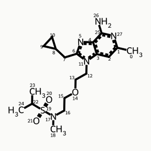 Cc1cc2c(nc(CC3CC3)n2CCOCCN(C)S(=O)(=O)C(C)C)c(N)n1